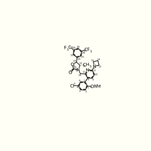 COc1ccc(Cl)cc1-c1ccc(N2CCC2)nc1CN1C(=O)OC(c2cc(C(F)(F)F)cc(C(F)(F)F)c2)[C@@H]1C